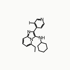 CCc1cccc2nc(-c3ccncc3I)c(NC3CCCCC3)n12